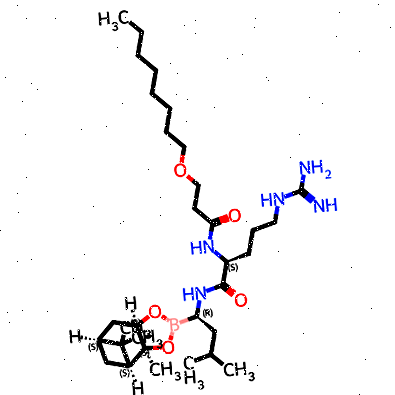 CCCCCCCCOCCC(=O)N[C@@H](CCCNC(=N)N)C(=O)N[C@@H](CC(C)C)B1O[C@@H]2C[C@@H]3C[C@@H](C3(C)C)[C@]2(C)O1